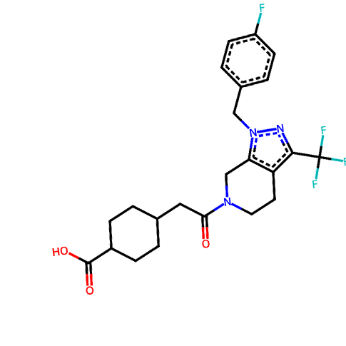 O=C(O)C1CCC(CC(=O)N2CCc3c(C(F)(F)F)nn(Cc4ccc(F)cc4)c3C2)CC1